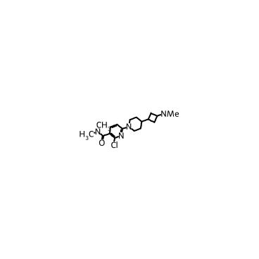 CNC1CC(C2CCN(c3ccc(C(=O)N(C)C)c(Cl)n3)CC2)C1